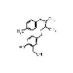 Cc1ccc(CN(C)C(C)CCc2ccc(O)c(CO)c2)cc1